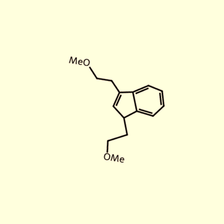 COCCC1=CC(CCOC)c2ccccc21